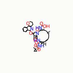 C[C@H]1CCC=C[C@@H]2C[C@@]2(C(=O)NS(=O)(=O)C2(C)CC2)NC(=O)[C@@H]2C[C@@H](Oc3nc4c(c5ccccc35)OCCC4)CN2C(=O)[C@@H](NC(=O)O)[C@H](C)C1